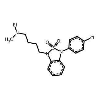 CCN(C)CCCCN1c2ccccc2N(c2ccc(Cl)cc2)S1(=O)=O